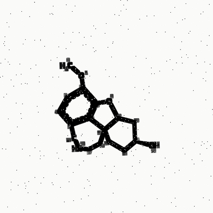 COc1ccc2c3c1OC1C[C@@H](O)CCC31CCNC2